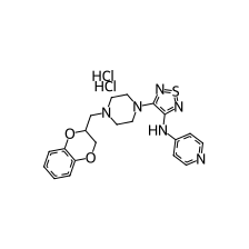 Cl.Cl.c1ccc2c(c1)OCC(CN1CCN(c3nsnc3Nc3ccncc3)CC1)O2